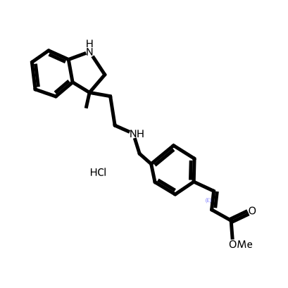 COC(=O)/C=C/c1ccc(CNCCC2(C)CNc3ccccc32)cc1.Cl